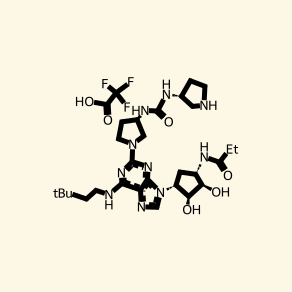 CCC(=O)N[C@H]1C[C@@H](n2cnc3c(NCCC(C)(C)C)nc(N4CC[C@@H](NC(=O)N[C@@H]5CCNC5)C4)nc32)[C@H](O)[C@@H]1O.O=C(O)C(F)(F)F